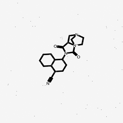 N#CC1CCC(N2C(=O)C3CN4CC[N+]3(C4)C2=O)C2CCCCC12